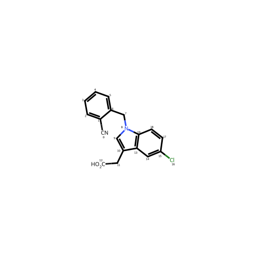 N#Cc1ccccc1Cn1cc(CC(=O)O)c2cc(Cl)ccc21